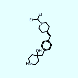 CCC(CC)N1CCC(=Cc2ccc(CC3(O)CCNCC3)cc2)CC1